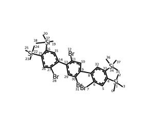 C[Si](C)(C)c1cc(Br)c(-c2cc(Br)c(-c3cc([Si](C)(C)C)c([Si](C)(C)C)cc3Br)cc2Br)cc1[Si](C)(C)C